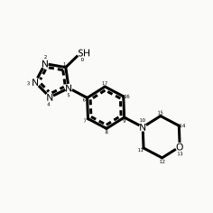 Sc1nnnn1-c1ccc(N2CCOCC2)cc1